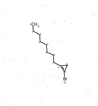 CCCCCCCCC1=C(Br)C1